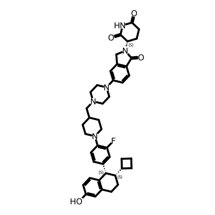 O=C1CC[C@H](N2Cc3cc(N4CCN(CC5CCN(c6ccc([C@H]7c8ccc(O)cc8CC[C@H]7C7CCC7)cc6F)CC5)CC4)ccc3C2=O)C(=O)N1